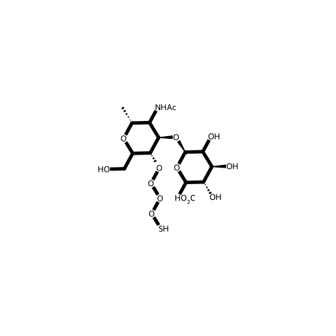 CC(=O)NC1[C@@H](O[C@@H]2OC(C(=O)O)[C@@H](O)[C@H](O)C2O)[C@H](OOOOS)C(CO)O[C@@H]1C